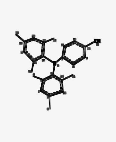 Cc1cc(C)c(B(c2ccc(C#N)cc2)c2c(C)cc(C)cc2C)c(C)c1